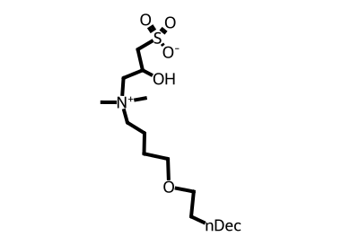 CCCCCCCCCCCCOCCCC[N+](C)(C)CC(O)CS(=O)(=O)[O-]